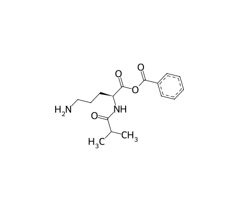 CC(C)C(=O)N[C@@H](CCCN)C(=O)OC(=O)c1ccccc1